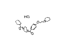 Cl.O=C(c1ccc(OCCCN2CCCCC2)cc1)N1CCN(C(=O)C2CCCCC2)CC1